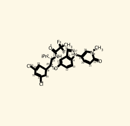 CC(C)[C@H](NC(=O)C(C)(F)F)[C@H](Oc1ccc2c(cnn2-c2ccc(=O)n(C)c2)c1)C1C=C(Cl)C=C(Cl)C1